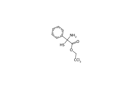 NC(S)(C(=O)OCC(Cl)(Cl)Cl)c1ccccc1